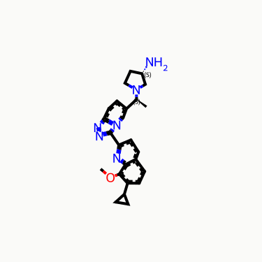 COc1c(C2CC2)ccc2ccc(-c3nnc4ccc([C@H](C)N5CC[C@H](N)C5)cn34)nc12